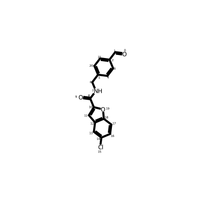 O=Cc1ccc(CNC(=O)c2cc3cc(Cl)ccc3o2)cc1